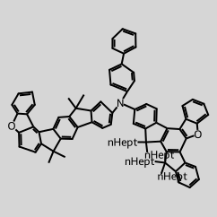 CCCCCCCC1(CCCCCCC)c2ccccc2-c2c1c1c(c3c2oc2ccccc23)-c2ccc(N(c3ccc(-c4ccccc4)cc3)c3ccc4c(c3)C(C)(C)c3cc5c(cc3-4)C(C)(C)c3ccc4oc6ccccc6c4c3-5)cc2C1(CCCCCCC)CCCCCCC